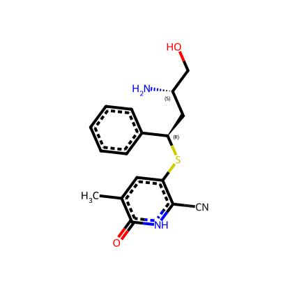 Cc1cc(S[C@H](C[C@H](N)CO)c2ccccc2)c(C#N)[nH]c1=O